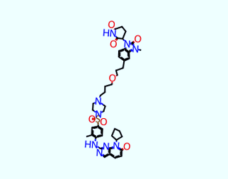 Cc1cc(S(=O)(=O)N2CCN(CCCCOCCCc3ccc4c(c3)n(C)c(=O)n4C3CCC(=O)NC3=O)CC2)ccc1Nc1ncc2ccc(=O)n(C3CCCC3)c2n1